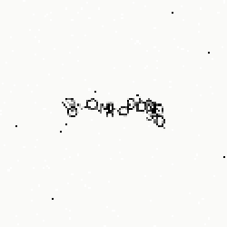 CCOC(=O)CCc1cccc(Cn2ccc(-c3cccc(Oc4ccc5c(ccn5S(=O)(=O)c5ccc(C)cc5)c4C)c3)n2)c1